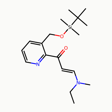 CCN(C)/C=C/C(=O)c1ncccc1CO[Si](C)(C)C(C)(C)C